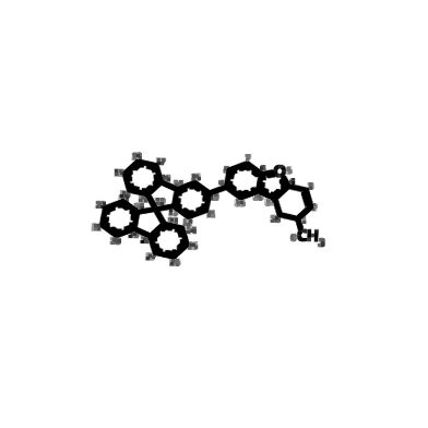 CC1C=Cc2oc3ccc(-c4ccc5c(c4)-c4ccccc4C54c5ccccc5-c5ccccc54)cc3c2C1